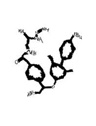 Cc1cc(OC(CC(C)C)c2ccc(C(=O)NCC(=N)NN=N)cc2)cc(C)c1-c1ccc(C(C)(C)C)cc1